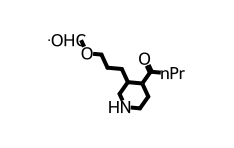 CCCC(=O)C1CCNCC1CCCO[C]=O